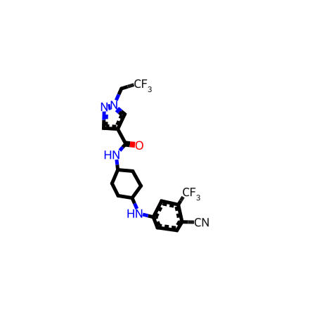 N#Cc1ccc(NC2CCC(NC(=O)c3cnn(CC(F)(F)F)c3)CC2)cc1C(F)(F)F